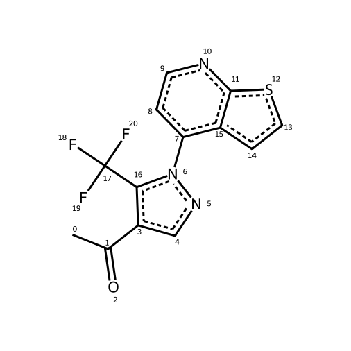 CC(=O)c1cnn(-c2ccnc3sccc23)c1C(F)(F)F